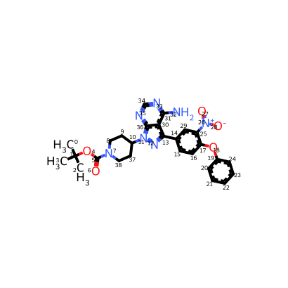 CC(C)(C)OC(=O)N1CCC(n2nc(-c3ccc(Oc4ccccc4)c([N+](=O)[O-])c3)c3c(N)ncnc32)CC1